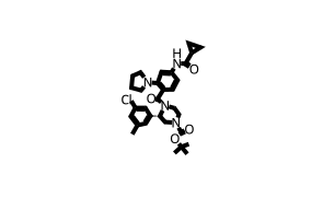 Cc1cc(Cl)cc([C@H]2CN(C(=O)OC(C)(C)C)CCN2C(=O)c2ccc(NC(=O)C3CC3)cc2N2CCCC2)c1